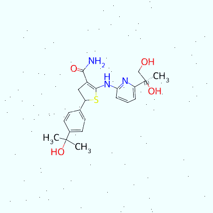 CC(C)(O)c1ccc(C2CC(C(N)=O)=C(Nc3cccc([C@](C)(O)CO)n3)S2)cc1